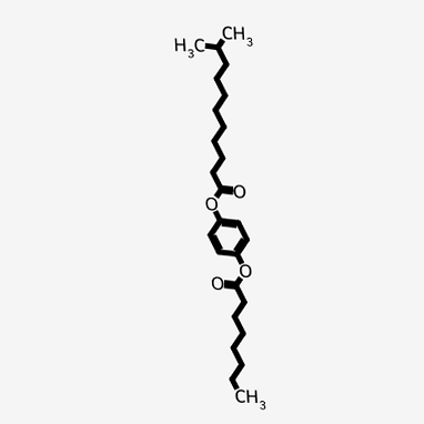 CCCCCCCC(=O)Oc1ccc(OC(=O)CCCCCCCCC(C)C)cc1